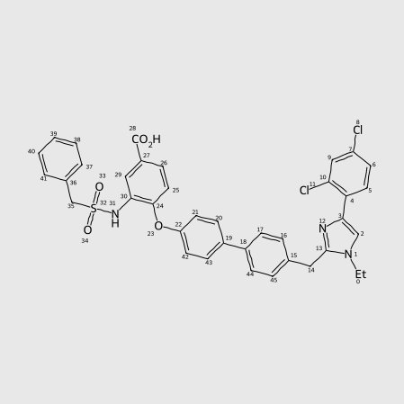 CCn1cc(-c2ccc(Cl)cc2Cl)nc1Cc1ccc(-c2ccc(Oc3ccc(C(=O)O)cc3NS(=O)(=O)Cc3ccccc3)cc2)cc1